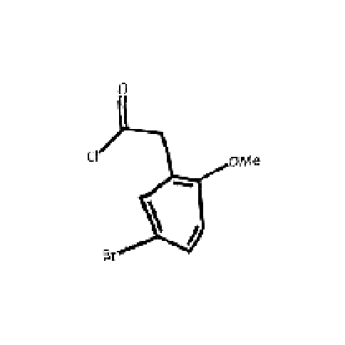 COc1ccc(Br)cc1CC(=O)Cl